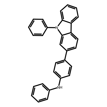 c1ccc(Nc2ccc(-c3ccc4c5ccccc5n(-c5ccccc5)c4c3)cc2)cc1